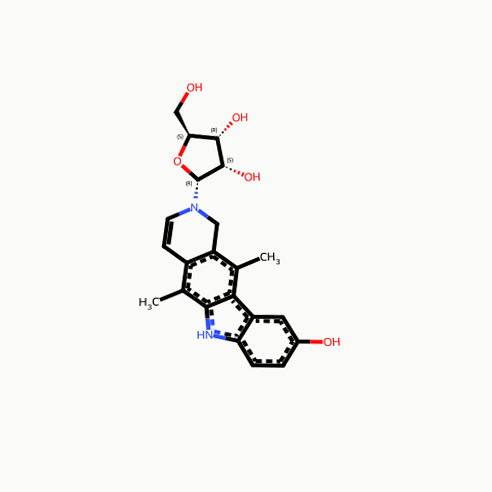 Cc1c2c(c(C)c3c1[nH]c1ccc(O)cc13)CN([C@@H]1O[C@@H](CO)[C@H](O)[C@@H]1O)C=C2